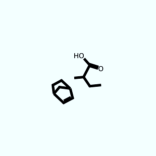 C1=CC2CCC1C2.CCC(C)C(=O)O